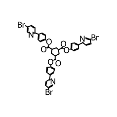 O=C(Oc1ccc(-c2ccc(Br)cn2)cc1)C1CC(C(=O)Oc2ccc(-c3ccc(Br)cn3)cc2)CC(C(=O)Oc2ccc(-c3ccc(Br)cn3)cc2)C1